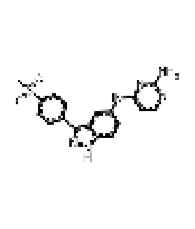 CS(=O)(=O)c1ccc(-c2n[nH]c3ccc(Nc4ccnc(N)n4)cc23)cc1